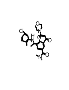 Cc1ccc(Cl)cc1NC(C)c1cc(C(=O)N(C)C)cc2c(=O)cc(N3CCOCC3)oc12